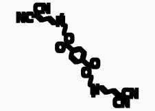 CN(/C=C/C=C(C#N)C#N)CCOC(=O)c1ccc(C(=O)OCCN(C)/C=C/C=C(C#N)C#N)cc1